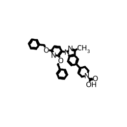 Cc1nn(-c2ccc(OCc3ccccc3)nc2OCc2ccccc2)c2ccc(C3=CCN(C(=O)O)CC3)cc12